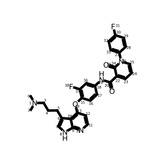 CN(C)CCCc1c[nH]c2nccc(Oc3ccc(NC(=O)c4cccn(-c5ccc(F)cc5)c4=O)cc3F)c12